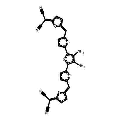 N#CC(C#N)=c1cc/c(=C/c2ccc(-c3sc(-c4ccc(/C=c5/ccc(=C(C#N)C#N)s5)s4)c(N)c3N)s2)s1